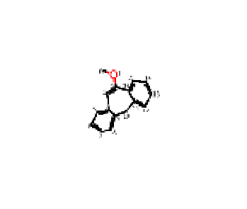 COC1=Cc2ccccc2[CH]c2ccccc21